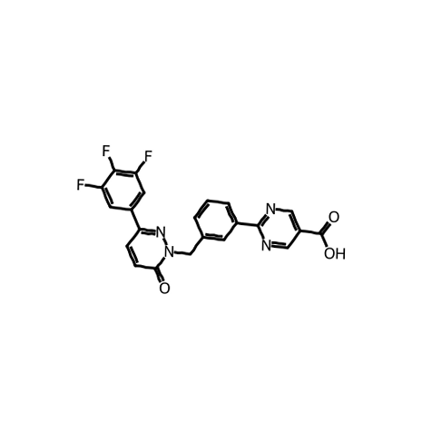 O=C(O)c1cnc(-c2cccc(Cn3nc(-c4cc(F)c(F)c(F)c4)ccc3=O)c2)nc1